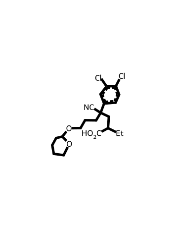 CCC(CC(C#N)(CCCOC1CCCCO1)c1ccc(Cl)c(Cl)c1)C(=O)O